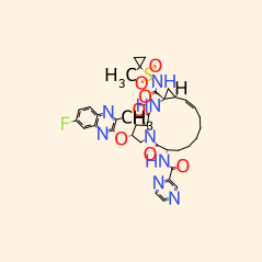 Cc1nc2ccc(F)cc2nc1O[C@@H]1C[C@H]2C(=O)N[C@]3(C(=O)NS(=O)(=O)C4(C)CC4)C[C@H]3C=CCCCCC[C@H](NC(=O)c3cnccn3)C(=O)N2C1